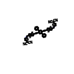 N#CC(C#N)=c1cc/c(=C/c2cc3sc(C#Cc4cc(-c5ccccc5)c(C#Cc5cc6sc(/C=c7/ccc(=C(C#N)C#N)s7)cc6s5)cc4-c4ccccc4)cc3s2)s1